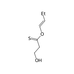 CCC=COC(=S)CCO